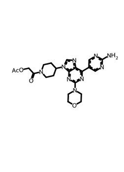 CC(=O)OCC(=O)N1CCC(n2cnc3c(-c4cnc(N)nc4)nc(N4CCOCC4)nc32)CC1